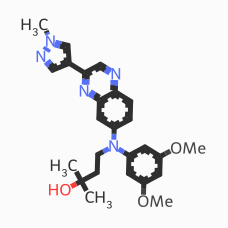 COc1cc(OC)cc(N(CCC(C)(C)O)c2ccc3ncc(-c4cnn(C)c4)nc3c2)c1